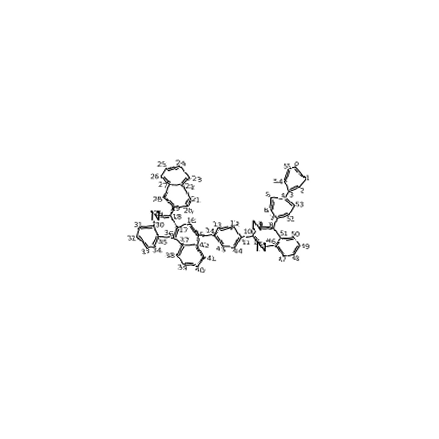 c1ccc(-c2ccc(-c3nc(-c4ccc(-c5cc6c(-c7ccc8ccccc8c7)nc7ccccc7c6c6ccccc56)cc4)nc4ccccc34)cc2)cc1